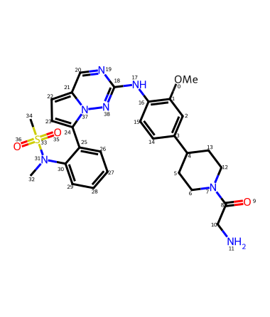 COc1cc(C2CCN(C(=O)CN)CC2)ccc1Nc1ncc2ccc(-c3ccccc3N(C)S(C)(=O)=O)n2n1